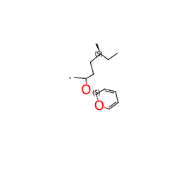 [CH2]C(CC[C@@H](C)CC)O[C@@H]1C=CC=CO1